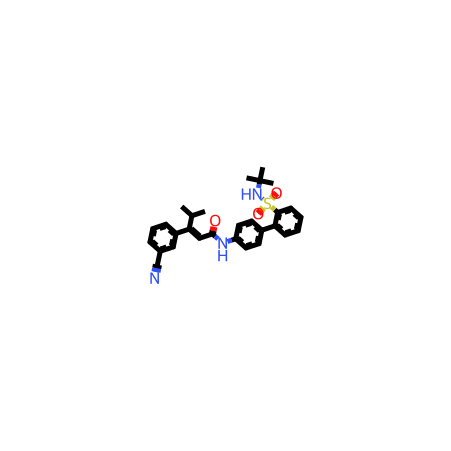 CC(C)/C(=C\C(=O)Nc1ccc(-c2ccccc2S(=O)(=O)NC(C)(C)C)cc1)c1cccc(C#N)c1